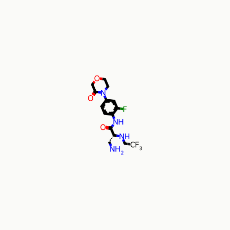 NC[C@@H](NCC(F)(F)F)C(=O)Nc1ccc(N2CCOCC2=O)cc1F